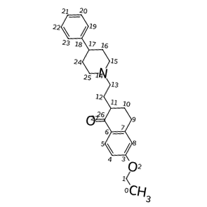 CCOc1ccc2c(c1)CCC(CCN1CCC(c3ccccc3)CC1)C2=O